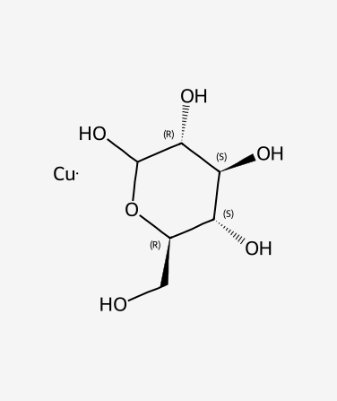 OC[C@H]1OC(O)[C@H](O)[C@@H](O)[C@@H]1O.[Cu]